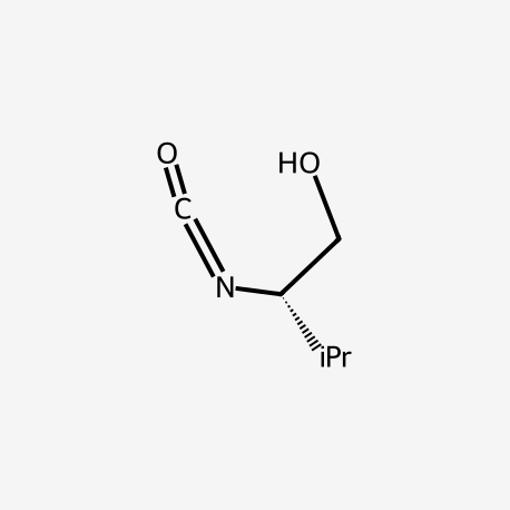 CC(C)[C@@H](CO)N=C=O